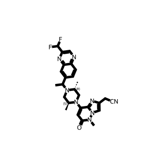 CC(c1ccc2ncc(C(F)F)nc2c1)N1C[C@H](C)N(c2cc(=O)n(C)n3cc(CC#N)nc23)C[C@H]1C